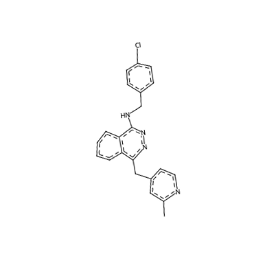 Cc1cc(Cc2nnc(NCc3ccc(Cl)cc3)c3ccccc23)ccn1